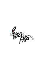 CCN1CC2CCC(C1)N2Cc1ccc(Nc2cc(-c3cc(F)c4nc5n(c4c3)C(C)(C)CC5)c(F)cn2)nc1